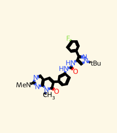 CNc1ncc2cc(-c3cccc(NC(=O)Nc4cn(C(C)(C)C)nc4-c4ccc(F)cc4)c3)c(=O)n(C)c2n1